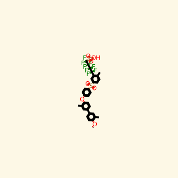 COc1ccc(-c2ccc(Oc3ccc(S(=O)(=O)c4ccc(C)c(C(F)(F)C(F)(F)C(F)(F)C(F)(F)S(=O)(=O)O)c4)cc3)c(C)c2)cc1C